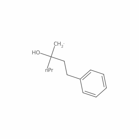 [CH2]C(O)(CCC)CCc1ccccc1